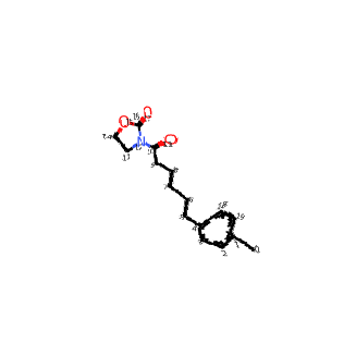 Cc1ccc(CCCCCC(=O)N2CCOC2=O)cc1